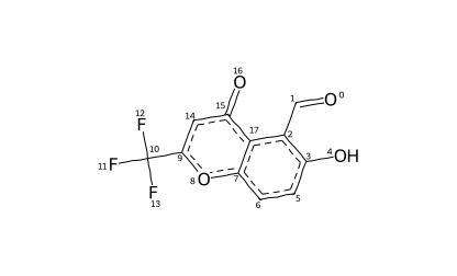 O=Cc1c(O)ccc2oc(C(F)(F)F)cc(=O)c12